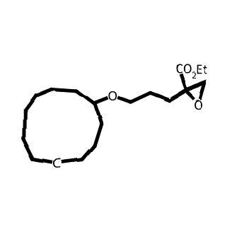 CCOC(=O)C1(CCCOC2CCCCCCCCCC2)CO1